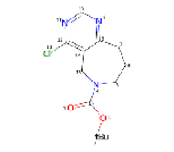 CC(C)(C)OC(=O)N1CCCc2ncnc(Cl)c2C1